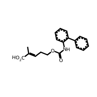 CC(=CCCOC(=O)Nc1ccccc1-c1ccccc1)C(=O)O